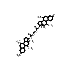 C=C1C=C2CC(C)C3C(C(C)CC4(C)C(OC(=O)OCOC(=O)OC5CCC6C7C(C)CC8=CC(=O)CCC8C7C(C)CC56C)CCC34)C2CC1